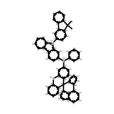 CC1(C)c2ccccc2-c2cc(-n3c4ccccc4c4ccc(N(c5ccccc5)c5ccc6c(c5)Sc5ccccc5C65c6ccccc6-c6cccc7cccc5c67)cc43)ccc21